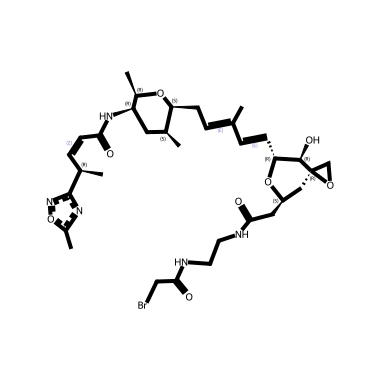 CC(/C=C/[C@H]1O[C@H](CC(=O)NCCNC(=O)CBr)C[C@@]2(CO2)[C@@H]1O)=C\C[C@@H]1O[C@H](C)[C@H](NC(=O)/C=C\[C@@H](C)c2noc(C)n2)C[C@@H]1C